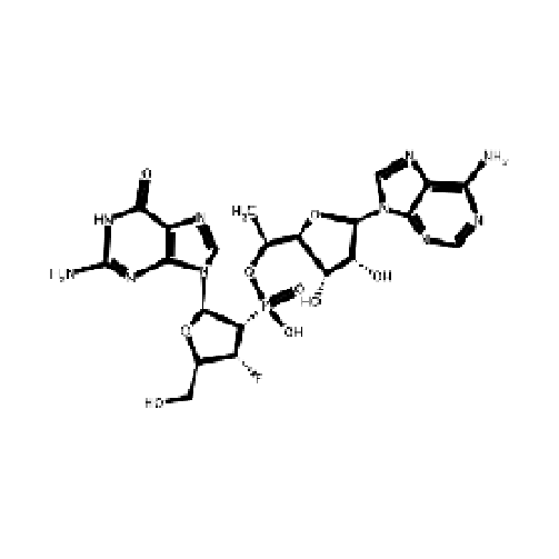 C[C@H](OP(=O)(O)[C@@H]1[C@H](F)[C@@H](CO)O[C@H]1n1cnc2c(=O)[nH]c(N)nc21)[C@H]1O[C@@H](n2cnc3c(N)ncnc32)[C@H](O)[C@@H]1O